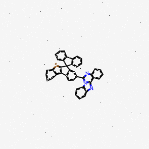 c1ccc2c(c1)-c1ccccc1C21c2cc(-c3nc4ccccc4c4nc5ccccc5n34)ccc2-c2c1sc1ccccc21